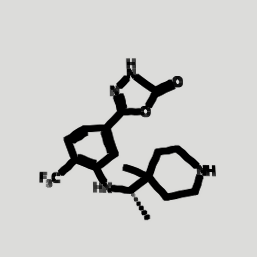 C[C@H](Nc1cc(-c2n[nH]c(=O)o2)ccc1C(F)(F)F)C1(C)CCNCC1